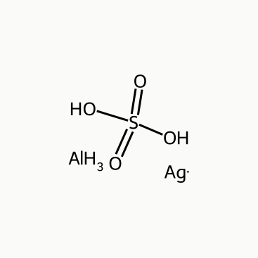 O=S(=O)(O)O.[Ag].[AlH3]